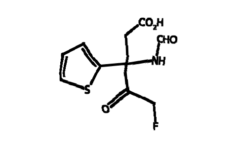 O=CNC(CC(=O)O)(C(=O)CF)c1cccs1